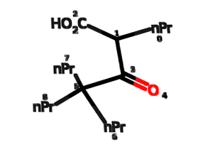 CCCC(C(=O)O)C(=O)C(CCC)(CCC)CCC